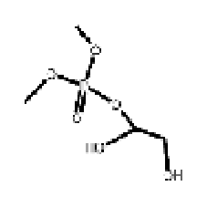 COP(=O)(OC)OC(O)CO